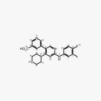 Cc1cc(Nc2ncc(-c3cncc(C(=O)O)c3)c(N3CCOCC3)n2)ccc1F